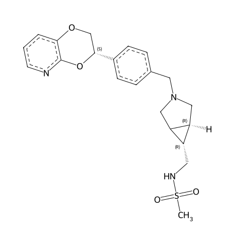 CS(=O)(=O)NC[C@@H]1C2CN(Cc3ccc([C@H]4COc5cccnc5O4)cc3)C[C@H]21